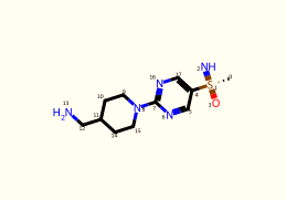 C[S@](=N)(=O)c1cnc(N2CCC(CN)CC2)nc1